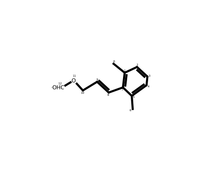 Cc1cccc(C)c1C=CCO[C]=O